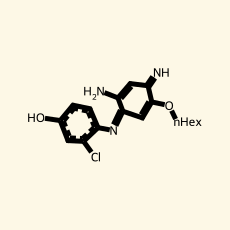 CCCCCCOC1=CC(=Nc2ccc(O)cc2Cl)C(N)=CC1=N